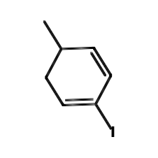 CC1C=CC(I)=CC1